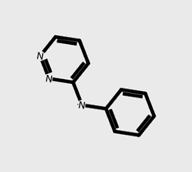 c1ccc([N]c2cccnn2)cc1